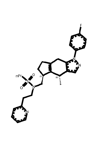 CCCS(=O)(=O)N(CCc1ccccn1)C[C@H]1CCC2=C1[C@@H](C)c1cnn(-c3ccc(F)cc3)c1C2